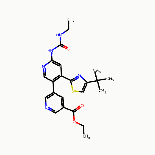 CCNC(=O)Nc1cc(-c2nc(C(C)(C)C)cs2)c(-c2cncc(C(=O)OCC)c2)cn1